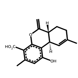 C=C1Oc2c(C(=O)O)c(C)cc(O)c2[C@@H]2C=C(C)CC[C@@H]12